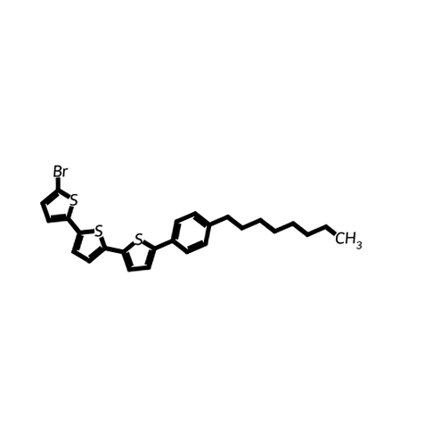 CCCCCCCCc1ccc(-c2ccc(-c3ccc(-c4ccc(Br)s4)s3)s2)cc1